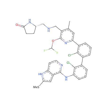 CSc1cc2c(Nc3cccc(-c4cccc(-c5cc(C)c(CNC[C@@H]6CCC(=O)N6)c(OC(F)F)n5)c4Cl)c3Cl)nccc2[nH]1